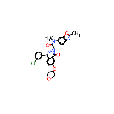 Cc1nc2ccc(N(C)C(=O)Cn3nc(-c4cccc(Cl)c4)c4ccc(OC5CCOCC5)cc4c3=O)cc2o1